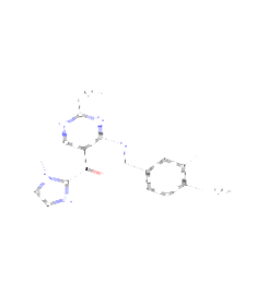 COc1ccc(CNc2nc(SC)ncc2C(=O)c2nccn2C)cc1Cl